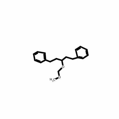 COCOC(CCc1ccccc1)CCc1ccccc1